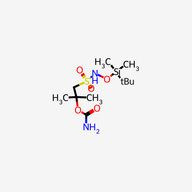 CC(C)(CS(=O)(=O)NO[Si](C)(C)C(C)(C)C)OC(N)=O